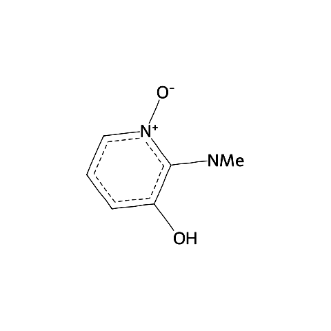 CNc1c(O)ccc[n+]1[O-]